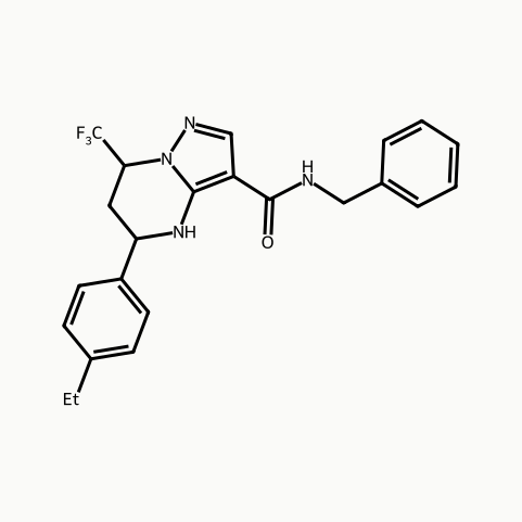 CCc1ccc(C2CC(C(F)(F)F)n3ncc(C(=O)NCc4ccccc4)c3N2)cc1